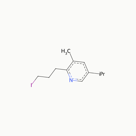 Cc1cc(C(C)C)cnc1CCCI